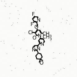 Cc1cnc(-c2ccnc(C3CCC4(CC3)COC4)n2)cc1-n1c(C)cc(OCc2ncc(F)cc2F)c(Cl)c1=O